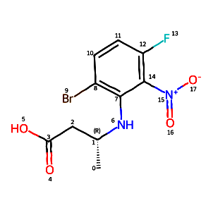 C[C@H](CC(=O)O)Nc1c(Br)ccc(F)c1[N+](=O)[O-]